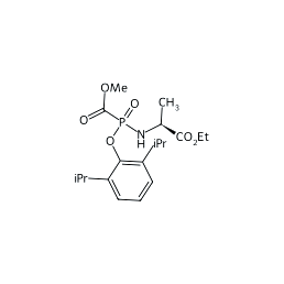 CCOC(=O)[C@H](C)NP(=O)(Oc1c(C(C)C)cccc1C(C)C)C(=O)OC